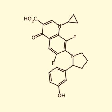 O=C(O)c1cn(C2CC2)c2c(F)c(N3CCCC3c3cccc(O)c3)c(F)cc2c1=O